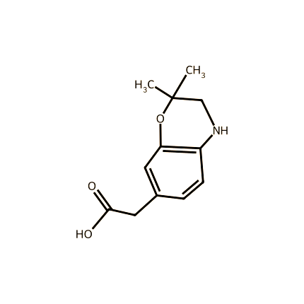 CC1(C)CNc2ccc(CC(=O)O)cc2O1